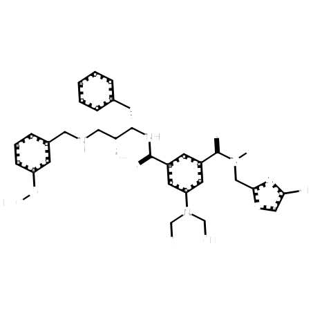 CCN(CC)c1cc(C(=O)N[C@@H](Cc2ccccc2)[C@H](O)CNCc2cccc(OC)c2)cc(C(=O)N(C)Cc2nc(C)cs2)c1